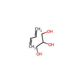 C=CC=C.OCC(O)CO